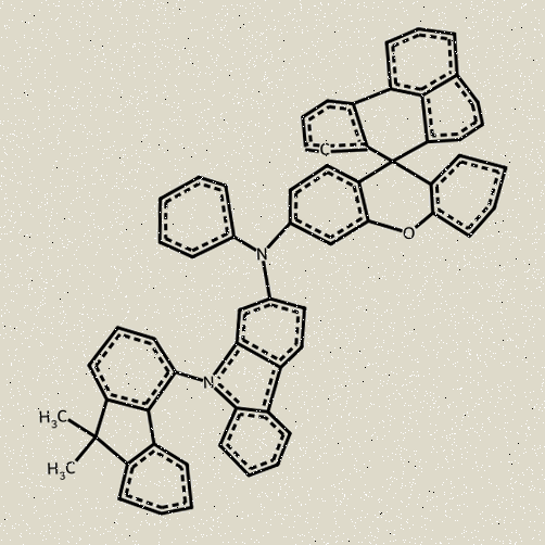 CC1(C)c2ccccc2-c2c(-n3c4ccccc4c4ccc(N(c5ccccc5)c5ccc6c(c5)Oc5ccccc5C65c6ccccc6-c6cccc7cccc5c67)cc43)cccc21